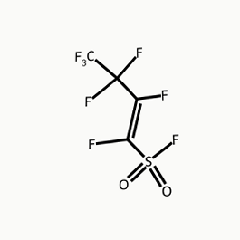 O=S(=O)(F)C(F)=C(F)C(F)(F)C(F)(F)F